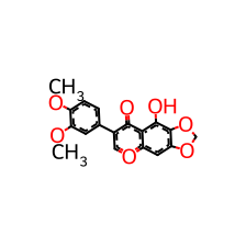 COc1ccc(-c2coc3cc4c(c(O)c3c2=O)OCO4)cc1OC